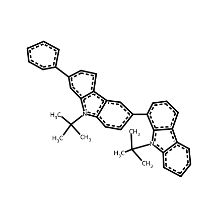 CC(C)(C)n1c2ccc(-c3cccc4c5ccccc5n(C(C)(C)C)c34)cc2c2ccc(-c3ccccc3)cc21